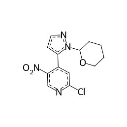 O=[N+]([O-])c1cnc(Cl)cc1-c1ccnn1C1CCCCO1